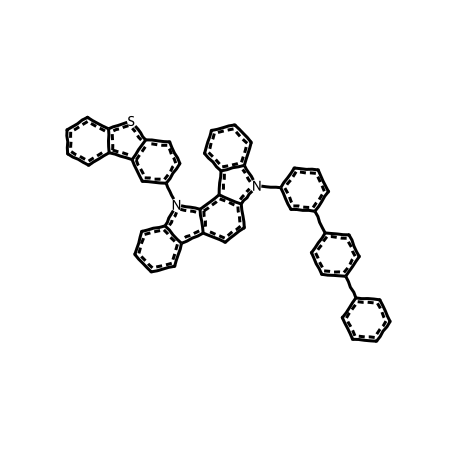 c1ccc(-c2ccc(-c3cccc(-n4c5ccccc5c5c4ccc4c6ccccc6n(-c6ccc7sc8ccccc8c7c6)c45)c3)cc2)cc1